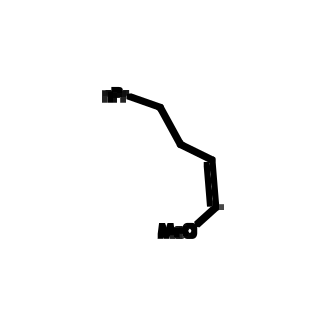 CCCCC/C=[C]\OC